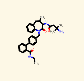 CCNC(=O)c1ccccc1-c1ccc(CN2C(=O)C(NC(=O)CC(C)(C)N)C(C)Cc3ccccc32)cc1